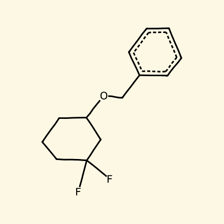 FC1(F)CCCC(OCc2ccccc2)C1